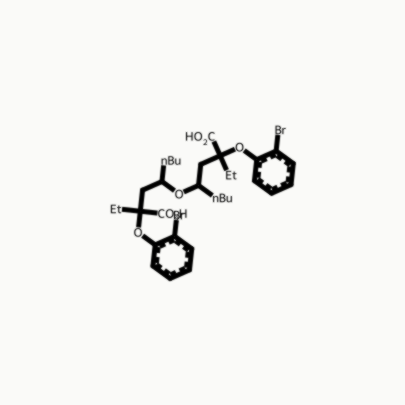 CCCCC(CC(CC)(Oc1ccccc1Br)C(=O)O)OC(CCCC)CC(CC)(Oc1ccccc1Br)C(=O)O